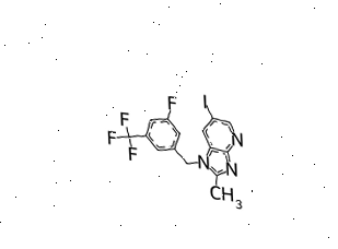 Cc1nc2ncc(I)cc2n1Cc1cc(F)cc(C(F)(F)F)c1